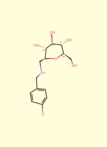 OC[C@H]1O[C@@H](CNCc2ccc(Cl)cc2)[C@H](O)[C@@H](O)[C@@H]1O